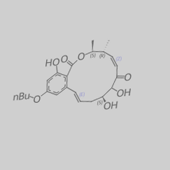 CCCCOc1cc(O)c2c(c1)/C=C/C[C@H](O)C(O)C(=O)/C=C\[C@@H](C)[C@H](C)OC2=O